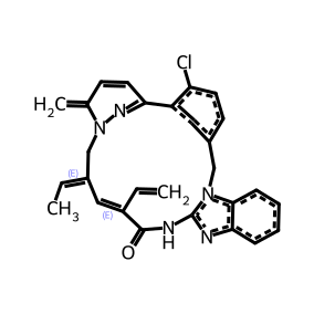 C=C/C1=C\C(=C/C)CN2N=C(C=CC2=C)c2cc(ccc2Cl)Cn2c(nc3ccccc32)NC1=O